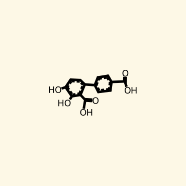 O=C(O)c1ccc(-c2ccc(O)c(O)c2C(=O)O)cc1